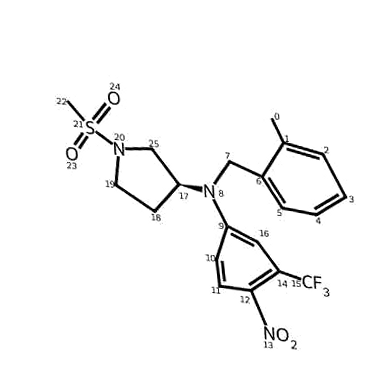 Cc1ccccc1CN(c1ccc([N+](=O)[O-])c(C(F)(F)F)c1)[C@H]1CCN(S(C)(=O)=O)C1